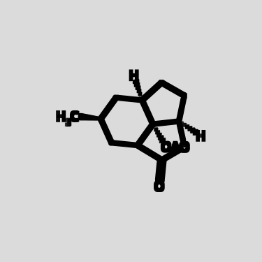 CC(=O)O[C@]12C3C[C@@H](C)C[C@H]1CC[C@H]2OC3=O